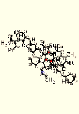 C=C/C=C\C(=C)C[C@@H](C(=O)N(C)[C@@H](CC)C(=O)NC(CC(=O)NC(CC(C)C)C(=O)N(C)[C@@H](CC(C)C)C(N)=O)C(=O)N1CCCCC1)N(C)C(=O)[C@H](COCC1COCCN1)NC(=O)[C@H](CC)N(C)C(=O)CN(CCCC)C(=O)CC(C)O